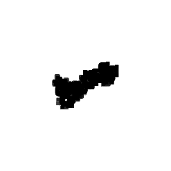 CC(C)(C)[S@@+]([O-])N[C@H]1c2ccccc2CC12CCC(c1ccc(Sc3ccnc(Cl)c3Cl)nc1)CC2